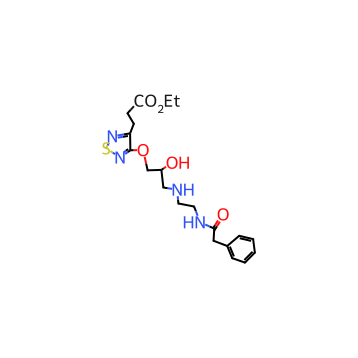 CCOC(=O)CCc1nsnc1OCC(O)CNCCNC(=O)Cc1ccccc1